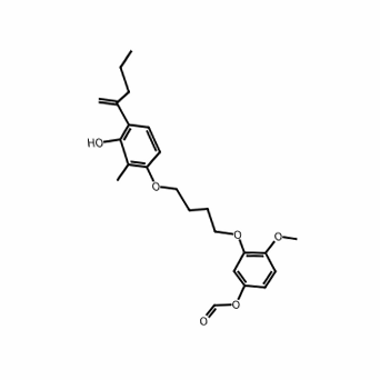 C=C(CCC)c1ccc(OCCCCOc2cc(OC=O)ccc2OC)c(C)c1O